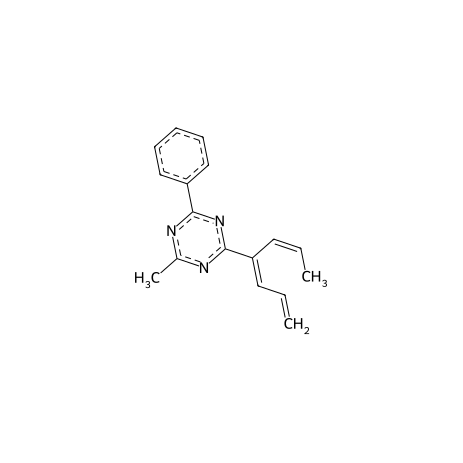 C=C/C=C(\C=C/C)c1nc(C)nc(-c2ccccc2)n1